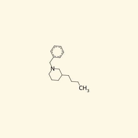 CCCCC1CCCN(Cc2ccccc2)C1